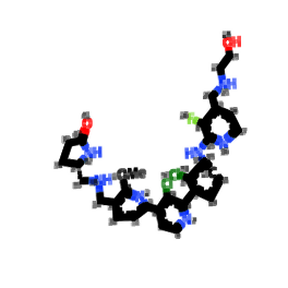 COc1nc(-c2ccnc(-c3cccc(Nc4nccc(CNCCO)c4F)c3Cl)c2Cl)ccc1CNC[C@@H]1CCC(=O)N1